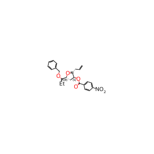 C=CC[C@H]1O[C@@H]([C@@H](CC)OCc2ccccc2)C[C@@H]1OC(=O)c1ccc([N+](=O)[O-])cc1